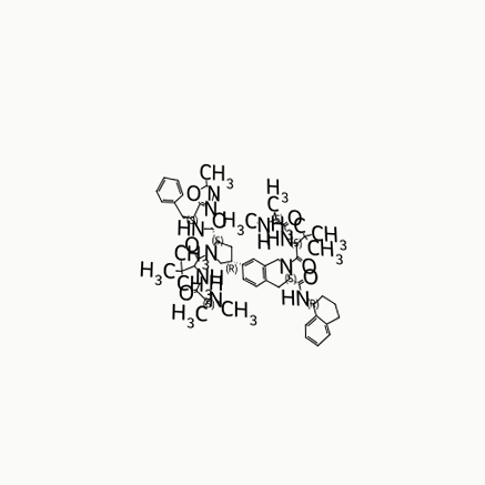 CN[C@@H](C)C(=O)NC(C(=O)N1C[C@@H](c2ccc3c(c2)CN(C(=O)[C@@H](NC(=O)[C@H](C)NC)C(C)(C)C)[C@H](C(=O)N[C@@H]2CCCc4ccccc42)C3)C[C@H]1C(=O)N[C@@H](Cc1ccccc1)c1nnc(C)o1)C(C)(C)C